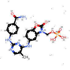 Cc1cnc(Nc2ccc(C(N)=O)cc2)nc1Nc1ccc2oc(=O)n(COP(=O)(O)O)c2c1